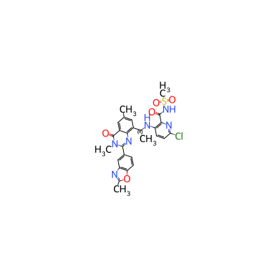 Cc1cc([C@@H](C)Nc2ccc(Cl)nc2C(=O)NS(C)(=O)=O)c2nc(-c3ccc4oc(C)nc4c3)n(C)c(=O)c2c1